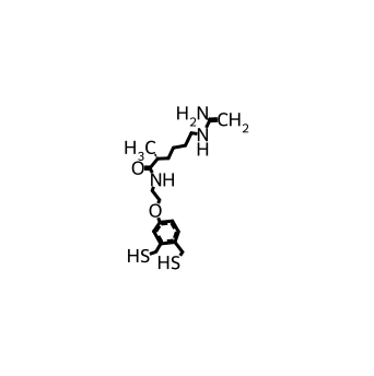 C=C(N)NCCCC[C@@H](C)C(=O)NCCOc1ccc(CS)c(CS)c1